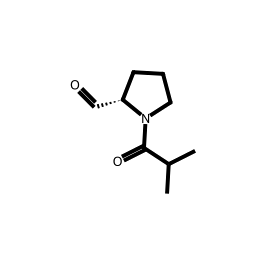 CC(C)C(=O)N1CCC[C@H]1C=O